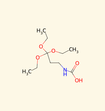 CCOC(CCNC(=O)O)(OCC)OCC